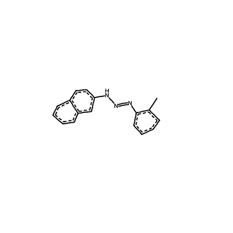 Cc1ccccc1N=NNc1ccc2ccccc2c1